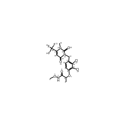 CONC(=O)C(C)Oc1ccc(Cn2c(=O)cc(C(F)(F)F)n(C)c2=O)c(Cl)c1Cl